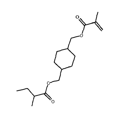 C=C(C)C(=O)OCC1CCC(COC(=O)C(C)CC)CC1